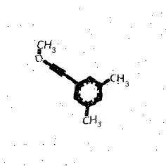 COC#Cc1cc(C)cc(C)c1